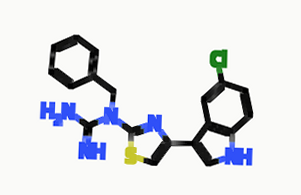 N=C(N)N(Cc1ccccc1)c1nc(-c2c[nH]c3ccc(Cl)cc23)cs1